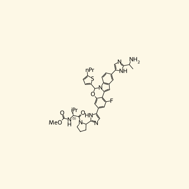 CCCc1ccc(C2Oc3cc(-c4cnc(C5CCCN5C(=O)[C@@H](NC(=O)OC)C(C)C)[nH]4)cc(F)c3-c3cc4cc(-c5cnc(C(C)N)[nH]5)ccc4n32)s1